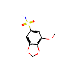 COc1cc(S([NH])(=O)=O)cc2c1OCO2